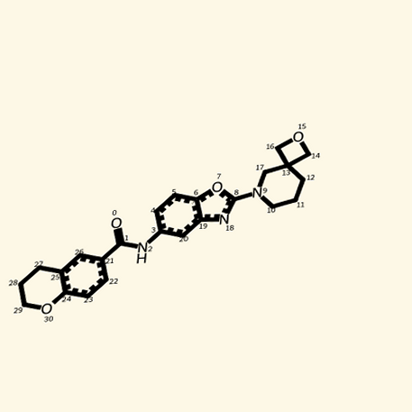 O=C(Nc1ccc2oc(N3CCCC4(COC4)C3)nc2c1)c1ccc2c(c1)CCCO2